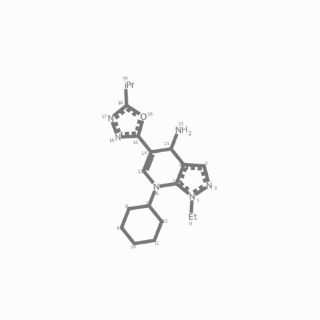 CCn1ncc2c1N(C1CCCCC1)C=C(c1nnc(C(C)C)o1)C2N